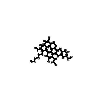 CCCCCCc1c(CC)cc(C=C(C)C(CC)=Nc2cc(CCCC)c(CCCCCC)c(CCCC)c2)cc1CCCC